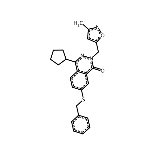 Cc1cc(Cn2nc(C3CCCC3)c3ccc(SCc4ccccc4)cc3c2=O)on1